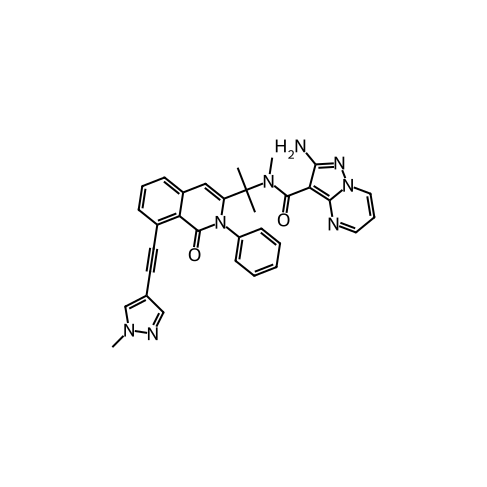 CN(C(=O)c1c(N)nn2cccnc12)C(C)(C)c1cc2cccc(C#Cc3cnn(C)c3)c2c(=O)n1-c1ccccc1